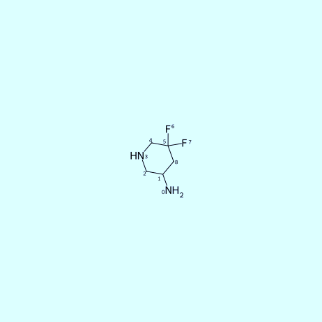 NC1CNCC(F)(F)C1